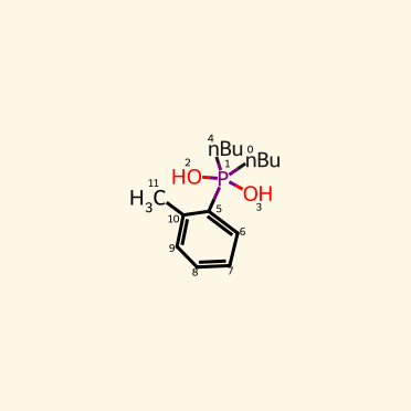 CCCCP(O)(O)(CCCC)c1ccccc1C